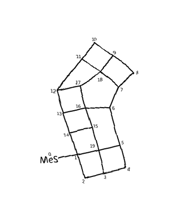 CSC12CC3CC4C5C6CC7CC8C9C%10C1C(C%105C9C786)C342